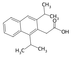 CC(C)c1cc2ccccc2c(C(C)C)c1CC(=O)O